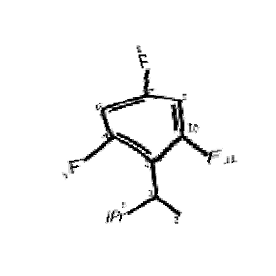 CC(C)C(C)c1c(F)cc(F)cc1F